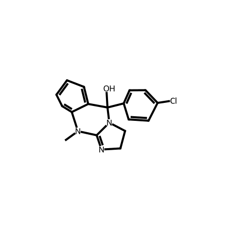 CN1C2=NCCN2C(O)(c2ccc(Cl)cc2)c2ccccc21